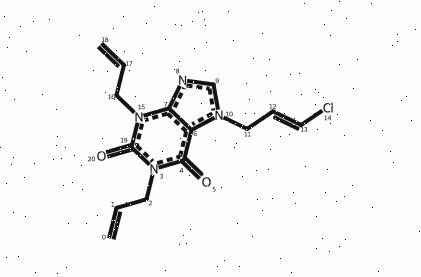 C=CCn1c(=O)c2c(ncn2CC=CCl)n(CC=C)c1=O